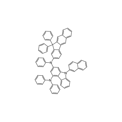 c1ccc(N(c2ccc3c(c2)C(c2ccccc2)(c2ccccc2)c2cc4ccccc4cc2-3)c2cc(N(c3ccccc3)c3ccccc3)c3c4ccccc4n(-c4ccc5ccccc5c4)c3c2)cc1